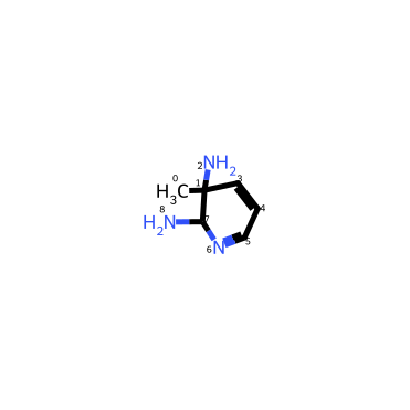 CC1(N)C=CC=NC1N